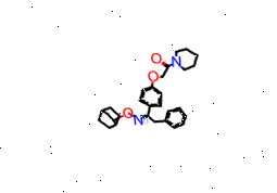 O=C(COc1ccc(/C(Cc2ccccc2)=N\OC2CC3CCC2CC3)cc1)N1CCCCC1